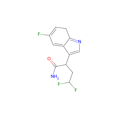 NC(=O)C(CC(F)F)C1=CN=C2CC=C(F)C=C12